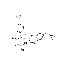 CN1C(=N)N[C@](C)(c2ccc3cn(CC4CC4)nc3c2)[C@@H](c2ccc(C3CC3)cc2)C1=O